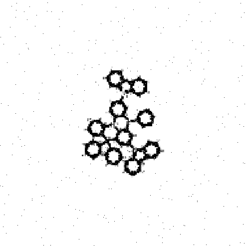 c1ccc(B2c3cc(-n4c5ccccc5c5ccccc54)ccc3N3c4ccccc4C(c4ccccc4)(c4ccccc4)c4cc(-n5c6ccccc6c6ccccc65)cc2c43)cc1